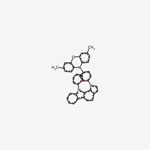 Cc1ccc2c(c1)Oc1cc(C)ccc1N2c1ccc(-n2ccc3ccc4c5ccccc5n(-c5ccccc5)c4c32)cc1